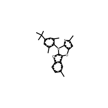 Cc1ccc2oc3c(c2c1)Oc1cc(C)sc1N3c1c(C)cc(C(C)(C)C)cc1C